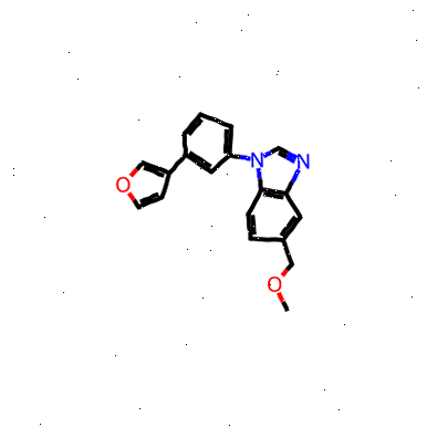 COCc1ccc2c(c1)ncn2-c1cccc(-c2ccoc2)c1